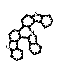 c1ccc2c(c1)cn1c3c(ccc4sc5ccccc5c43)c3ccc4oc5ccccc5c4c3c21